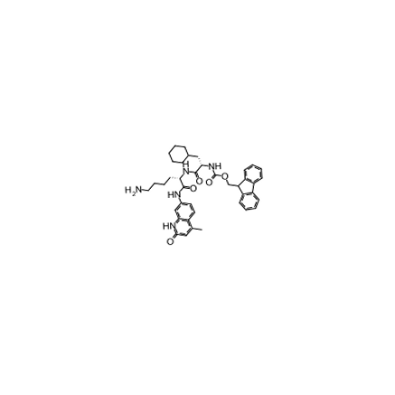 Cc1cc(=O)[nH]c2cc(NC(=O)[C@H](CCCCN)NC(=O)[C@H](CC3CCCCC3)NC(=O)OCC3c4ccccc4-c4ccccc43)ccc12